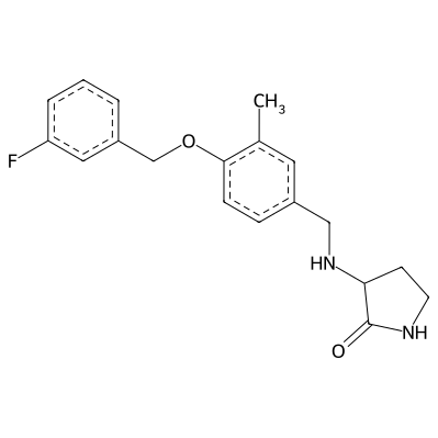 Cc1cc(CNC2CCNC2=O)ccc1OCc1cccc(F)c1